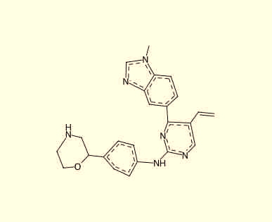 C=Cc1cnc(Nc2ccc(C3CNCCO3)cc2)nc1-c1ccc2c(c1)ncn2C